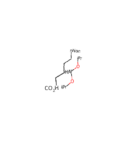 CC(C)[O][AlH][O]C(C)C.CCCCCCCCCCCCCC(=O)O